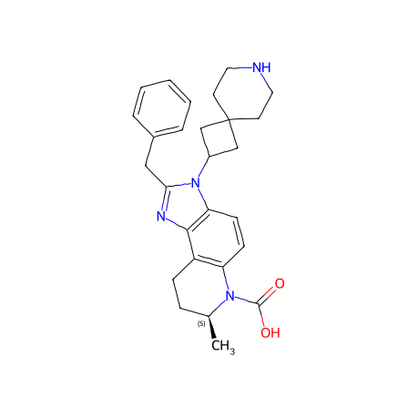 C[C@H]1CCc2c(ccc3c2nc(Cc2ccccc2)n3C2CC3(CCNCC3)C2)N1C(=O)O